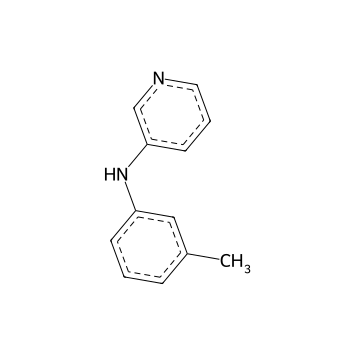 Cc1cccc(Nc2cccnc2)c1